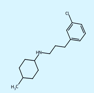 CC1CCC(NCCCc2cccc(Cl)c2)CC1